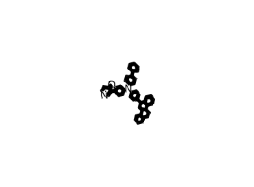 c1ccc(-c2ccc(N(c3ccc(-c4cc5c6ccccc6ccc5c5ccccc45)cc3)c3ccc4c(c3)oc3ccncc34)cc2)cc1